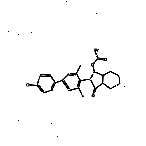 Cc1cc(-c2ccc(Cl)cc2)cc(C)c1C1C(=O)C2CCCCC2C1OC(=O)C(C)C